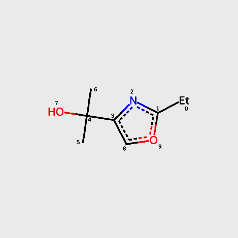 CCc1nc(C(C)(C)O)co1